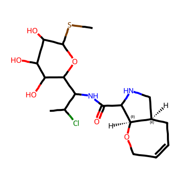 CSC1OC(C(NC(=O)C2NC[C@H]3CC=CCO[C@@H]23)C(C)Cl)C(O)C(O)C1O